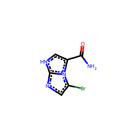 NC(=O)c1c[nH]c2ncc(Br)n12